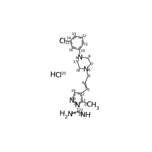 Cc1c(/C=C/CN2CCN(c3cccc(Cl)c3)CC2)cnn1C(=N)N.Cl